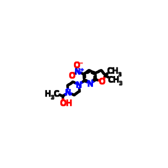 CC(O)N1CCN(c2nc3c(cc2[N+](=O)[O-])CC(C)(C)O3)CC1